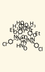 CCOc1cc(C(C)(C)CO)ccc1C1=NC(c2ccc(Cl)cc2)CN1C(=O)[C@H]1CNC(=O)CN1C(=O)N1C[C@H](c2ccc(Cl)cc2)N=C1c1ccc(C(C)(C)CO)cc1OCC